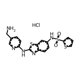 Cl.NCc1ccc(Nc2nc3ccc(NS(=O)(=O)c4cccs4)cc3s2)nc1